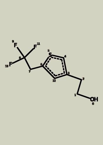 OCCc1csc(CC(F)(F)F)c1